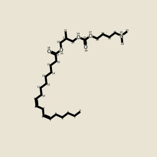 CCCCC/C=C\C/C=C\CCCCCCCC(=O)OCC(C)COC(=O)OCCCCN(C)C